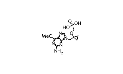 COc1nc(N)nc2c1ncn2CC1(OCP(=O)(O)O)CC1